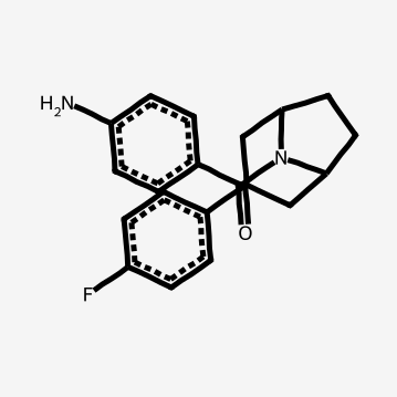 Nc1ccc(C(=O)N2C3CCC2CC(c2ccc(F)cc2)C3)cc1